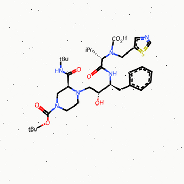 CC(C)[C@@H](C(=O)N[C@@H](Cc1ccccc1)[C@H](O)CN1CCN(C(=O)OC(C)(C)C)C[C@H]1C(=O)NC(C)(C)C)N(Cc1cncs1)C(=O)O